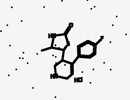 CC1NC(=O)SC1C1CNCC=C1c1ccc(F)cc1.Cl